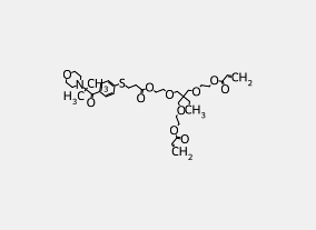 C=CC(=O)OCCOCC(CC)(COCCOC(=O)C=C)COCCOC(=O)CCSc1ccc(C(=O)C(C)(C)N2CCOCC2)cc1